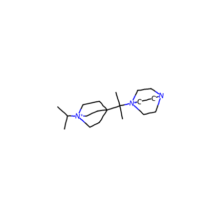 CC(C)[N+]12CCC(C(C)(C)[N+]34CCN(CC3)CC4)(CC1)CC2